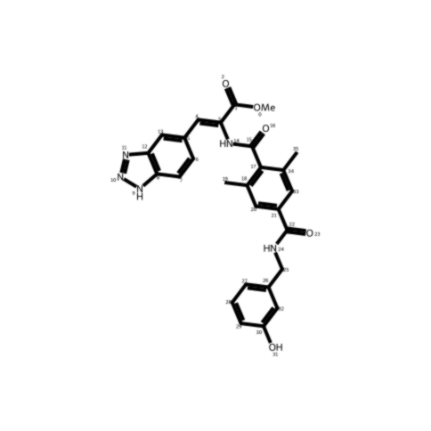 COC(=O)/C(=C/c1ccc2[nH]nnc2c1)NC(=O)c1c(C)cc(C(=O)NCc2cccc(O)c2)cc1C